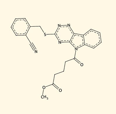 COC(=O)CCCC(=O)n1c2ccccc2c2nnc(SCc3ccccc3C#N)nc21